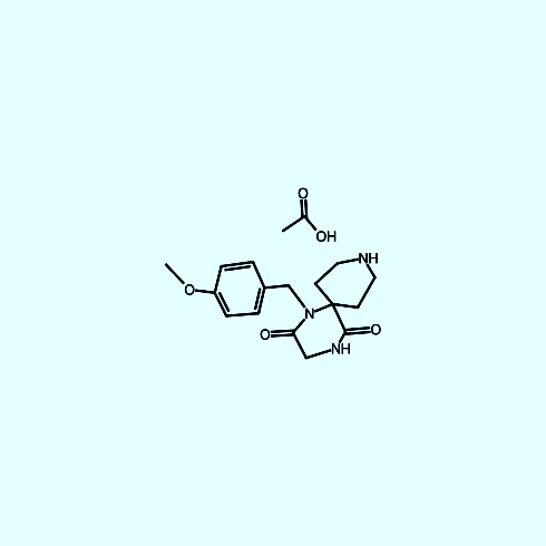 CC(=O)O.COc1ccc(CN2C(=O)CNC(=O)C23CCNCC3)cc1